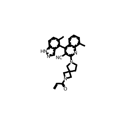 C=CC(=O)N1CC2(CCN(c3nc4c(C)cccc4c(-c4c(C)ccc5[nH]ncc45)c3C#N)C2)C1